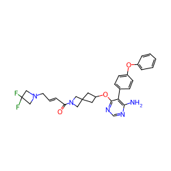 Nc1ncnc(OC2CC3(C2)CN(C(=O)C=CCN2CC(F)(F)C2)C3)c1-c1ccc(Oc2ccccc2)cc1